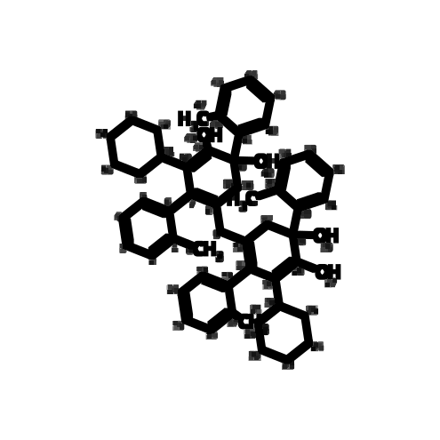 Cc1ccccc1C1=C(CC2=C(c3ccccc3C)C(C3CCCCC3)=C(O)C(O)(c3ccccc3C)C2)CC(O)(c2ccccc2C)C(O)=C1C1CCCCC1